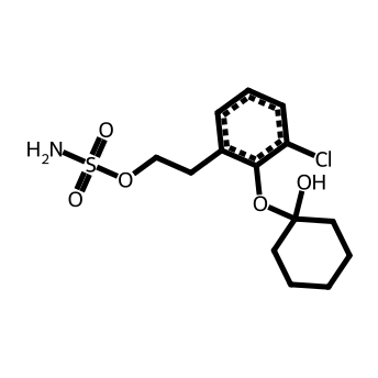 NS(=O)(=O)OCCc1cccc(Cl)c1OC1(O)CCCCC1